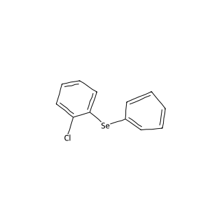 Clc1ccccc1[Se]c1ccccc1